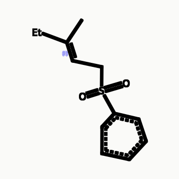 CC/C(C)=C/CS(=O)(=O)c1ccccc1